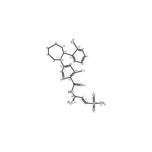 C[C@H](/C=C/S(C)(=O)=O)NC(=O)c1ncc(N2CCCCCC2c2ccccc2Cl)cc1F